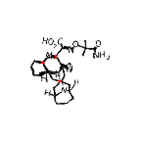 CC(C)(O/N=C(\C(=O)O)c1nc2ccccc2n([C@H]2C[C@H]3CCC[C@@H](C2)N3[C@H]2C[C@@H]3CCC[C@@H](C3)C2)c1=O)C(N)=O